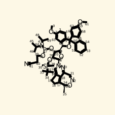 COc1ccc(C(OC[C@H]2O[C@@H](N3C=C4CCC5=C4C(=N3)C=NO[C@H]5C)[C@H](O[Si](C)(C)C(C)(C)C)[C@@H]2OP(OCCC#N)N(C(C)C)C(C)C)(c2ccccc2)c2ccc(OC)cc2)cc1